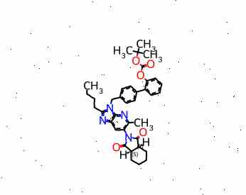 CCCCc1nc2cc(N3C(=O)[C@H]4CCCC[C@H]4C3=O)c(C)nc2n1Cc1ccc(-c2ccccc2OC(=O)OC(C)(C)C)cc1